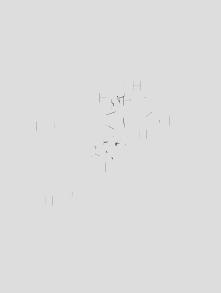 C=C(C)C1CCC(C)=CC1c1c(O)cc(CCCCC)c(S(=O)(=O)NC(=O)COCCOC)c1O